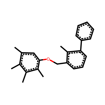 Cc1cc(OCc2cccc(-c3ccccc3)c2C)c(C)c(C)c1C